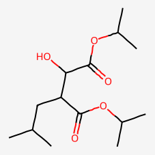 CC(C)CC(C(=O)OC(C)C)C(O)C(=O)OC(C)C